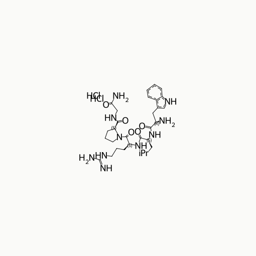 CC(C)C[C@H](NC(=O)[C@H](N)Cc1c[nH]c2ccccc12)C(=O)N[C@@H](CCCNC(=N)N)C(=O)N1CCC[C@H]1C(=O)NCC(N)=O.Cl.Cl